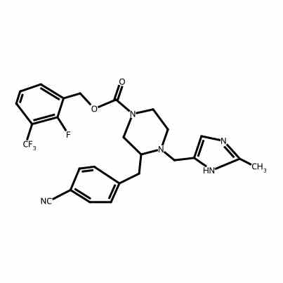 Cc1ncc(CN2CCN(C(=O)OCc3cccc(C(F)(F)F)c3F)CC2Cc2ccc(C#N)cc2)[nH]1